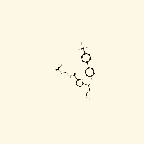 CCCC(Oc1ccc(-c2ccc(C(F)(F)F)cc2)cc1)c1ccc(C(=O)NCCC(=O)O)s1